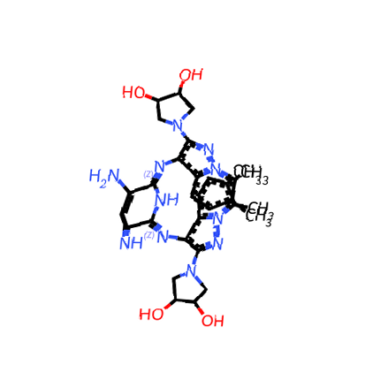 Cc1ccc2c(/N=C3\N/C(=N\c4c(N5CC(O)C(O)C5)nn5c(C)c(C)ccc45)C(N)=CC3=N)c(N3CC(O)C(O)C3)nn2c1C